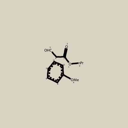 CCCOC(=O)CC=O.COc1ccccc1